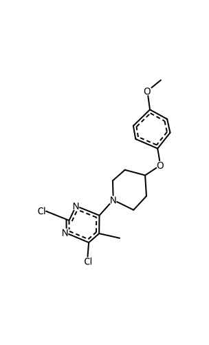 COc1ccc(OC2CCN(c3nc(Cl)nc(Cl)c3C)CC2)cc1